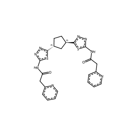 O=C(Cc1ccccn1)Nc1nnc([C@@H]2CC[C@@H](c3nnc(NC(=O)Cc4ccccn4)s3)C2)s1